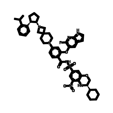 CC(C)c1ccccc1[C@@H]1CCC[C@@H]1N1CC2(CCN(c3ccc(C(=O)NS(=O)(=O)c4cc5c(c([N+](=O)[O-])c4)N[C@@H](C4CCCCC4)CO5)c(Oc4cc5cc[nH]c5nc4F)c3)CC2)C1